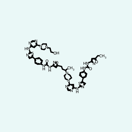 CCc1cc(NC(=O)Nc2ccc(-c3cnc(Nc4cc(N5CCN(C(C)CCc6cc(NC(=O)Nc7ccc(-c8cnc(Nc9cc(N%10CCN(CCO)CC%10)ncn9)s8)cc7)no6)CC5)ncn4)s3)cc2)no1